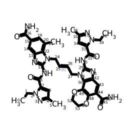 CCn1nc(C)cc1C(=O)Nc1nc2cc(C(N)=O)cc(C)c2n1C/C=C/Cn1c(NC(=O)c2cc(C)nn2CC)nc2cc(C(N)=O)c3c(c21)OCCO3